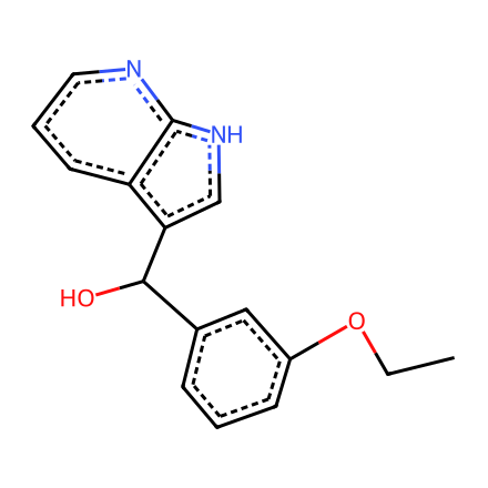 CCOc1cccc(C(O)c2c[nH]c3ncccc23)c1